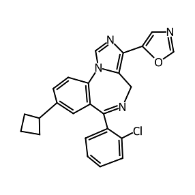 Clc1ccccc1C1=NCc2c(-c3cnco3)ncn2-c2ccc(C3CCC3)cc21